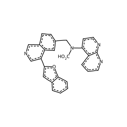 O=C(O)N(Cc1ccc2cncc(-c3cc4ccccc4o3)c2c1)c1ccnc2ncccc12